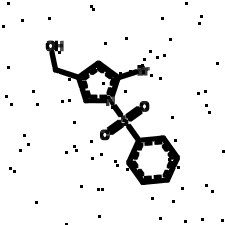 O=S(=O)(c1ccccc1)n1cc(CO)cc1Br